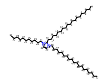 CCCCCCCCCCCCCCCCCCCC1N(CCCCCCCCCCC)C=CN1CCCCCCCCCCCCCCCCCCC